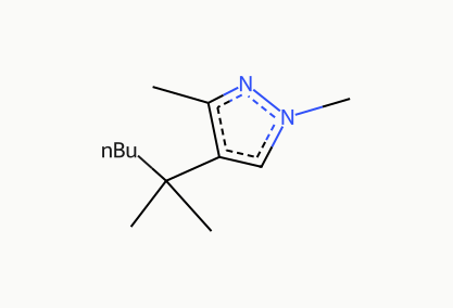 CCCCC(C)(C)c1cn(C)nc1C